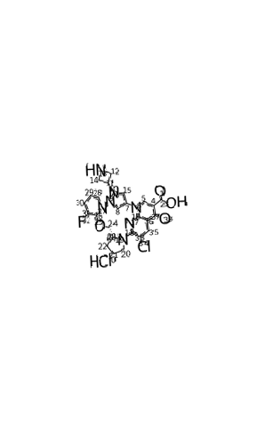 Cl.O=C(O)c1cn(-c2cnn(C3CNC3)c2)c2nc(N3CCC[C@@H]3COc3ncccc3F)c(Cl)cc2c1=O